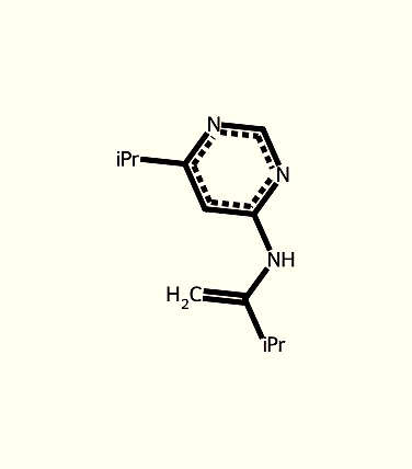 C=C(Nc1cc(C(C)C)ncn1)C(C)C